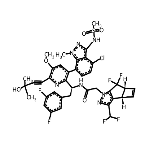 COc1cc(-c2ccc(Cl)c3c(NS(C)(=O)=O)nn(C)c23)c([C@H](Cc2cc(F)cc(F)c2)NC(=O)Cn2nc(C(F)F)c3c2C(F)(F)[C@@H]2C=C[C@H]32)nc1C#CC(C)(C)O